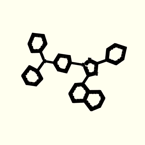 c1ccc(-c2nc(-c3cccc4ccccc34)n(-c3ccc(N(c4ccccc4)c4ccccc4)cc3)n2)cc1